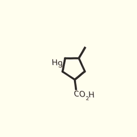 CC1CCC(C(=O)O)C1.[Hg]